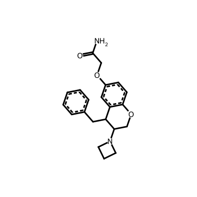 NC(=O)COc1ccc2c(c1)C(Cc1ccccc1)C(N1CCC1)CO2